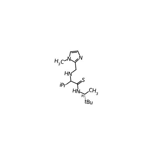 CC(C)C(NCc1nccn1C)C(=S)N[C@H](C)C(C)(C)C